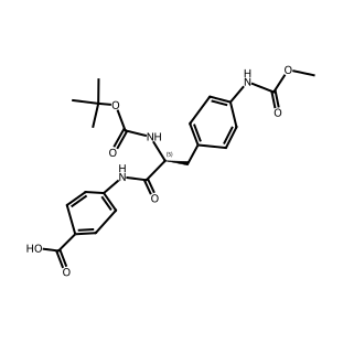 COC(=O)Nc1ccc(C[C@H](NC(=O)OC(C)(C)C)C(=O)Nc2ccc(C(=O)O)cc2)cc1